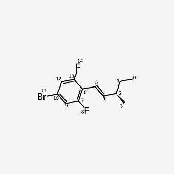 CC[C@@H](C)/C=C/c1c(F)cc(Br)cc1F